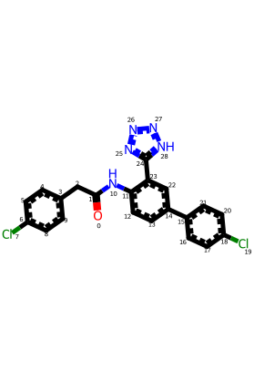 O=C(Cc1ccc(Cl)cc1)Nc1ccc(-c2ccc(Cl)cc2)cc1-c1nnn[nH]1